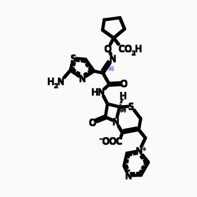 Nc1nc(/C(=N\OC2(C(=O)O)CCCC2)C(=O)NC2C(=O)N3C(C(=O)[O-])=C(C[n+]4ccncc4)CS[C@H]23)cs1